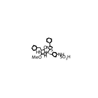 COC(=O)NC(Cc1ccccc1)C(=O)N[C@@H](Cc1ccc(NS(=O)(=O)O)cc1)c1nc(-c2ccccc2)cs1